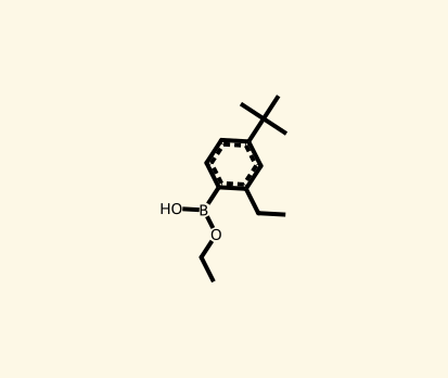 CCOB(O)c1ccc(C(C)(C)C)cc1CC